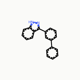 c1ccc(-c2cccc(-c3n[nH]c4ccccc34)c2)cc1